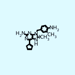 Cc1cc(CN2c3nc(N)nc(C4=CC=CC4)c3NN2C)ccc1N